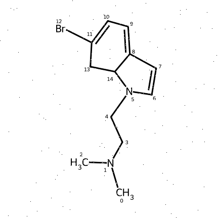 CN(C)CCN1C=CC2=CC=C(Br)CC21